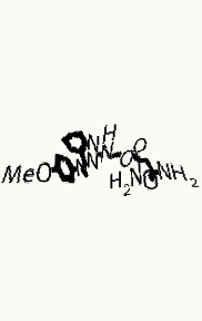 COc1ccc(N(C)c2nc(NCCOC(=O)[C@@H](N)CC(N)=O)nc3ccccc23)cc1